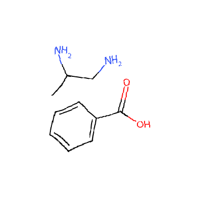 CC(N)CN.O=C(O)c1ccccc1